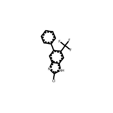 FC(F)(F)c1cc2[nH]c(Cl)nc2cc1-c1ccccc1